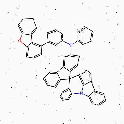 c1ccc(N(c2cccc(-c3cccc4oc5ccccc5c34)c2)c2ccc3c(c2)-c2ccccc2C32c3ccccc3-n3c4ccccc4c4cccc2c43)cc1